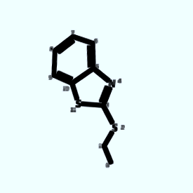 CCSc1nc2ccccc2s1